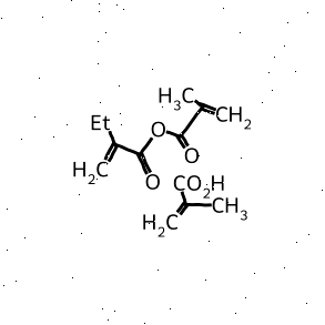 C=C(C)C(=O)O.C=C(C)C(=O)OC(=O)C(=C)CC